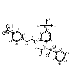 CC(C)N(c1ccc(C(F)(F)F)cc1OCCc1ccc(C(=O)O)cc1)S(=O)(=O)c1ccccc1